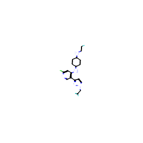 FCCNC1CCC(Nc2cc(Cl)ncc2-c2ccn(CC(F)F)n2)CC1